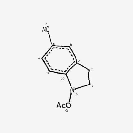 CC(=O)ON1CCc2cc(C#N)ccc21